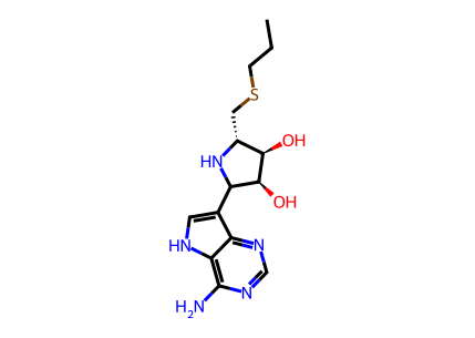 CCCSC[C@H]1NC(c2c[nH]c3c(N)ncnc23)[C@H](O)[C@@H]1O